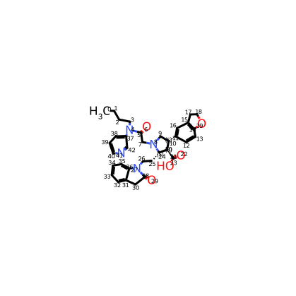 CCCCN(C(=O)CN1C[C@H](c2ccc3c(c2)CCO3)[C@@H](C(=O)O)[C@@H]1CCN1C(=O)Cc2ccccc21)c1cccnc1